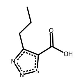 CCCc1nnsc1C(=O)O